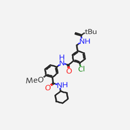 C=C(NCc1ccc(Cl)c(C(=O)Nc2ccc(OC)c(C(=O)NC3CCCCC3)c2)c1)C(C)(C)C